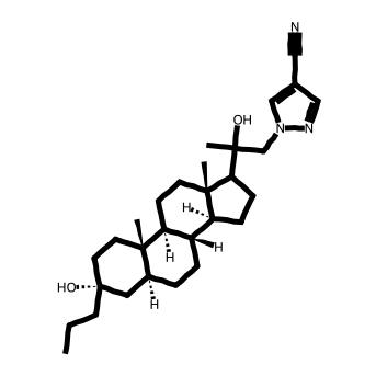 CCC[C@@]1(O)CC[C@@]2(C)[C@@H](CC[C@@H]3[C@@H]2CC[C@]2(C)C(C(C)(O)Cn4cc(C#N)cn4)CC[C@@H]32)C1